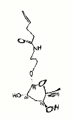 C=CCCC(=O)NCCO[C@@H]1O[C@@H](C)[C@@H](O)C[C@@H]1O